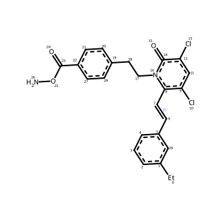 CCc1cccc(/C=C/c2c(Cl)cc(Cl)c(=O)n2CCc2ccc(C(=O)ON)cc2)c1